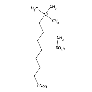 CCCCCCCCCCCCCCCC[N+](C)(C)C.CS(=O)(=O)O